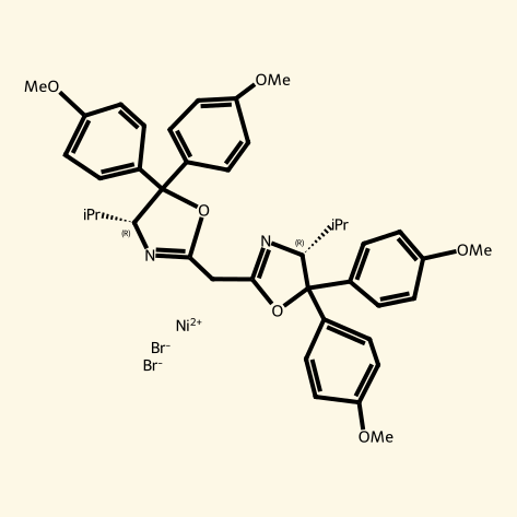 COc1ccc(C2(c3ccc(OC)cc3)OC(CC3=N[C@H](C(C)C)C(c4ccc(OC)cc4)(c4ccc(OC)cc4)O3)=N[C@@H]2C(C)C)cc1.[Br-].[Br-].[Ni+2]